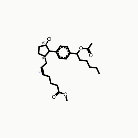 CCCCCC(OC(C)=O)c1ccc(C2[C@@H](C/C=C\CCCC(=O)OC)CC[C@H]2Cl)cc1